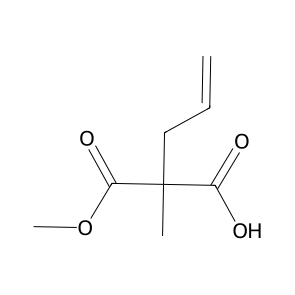 C=CCC(C)(C(=O)O)C(=O)OC